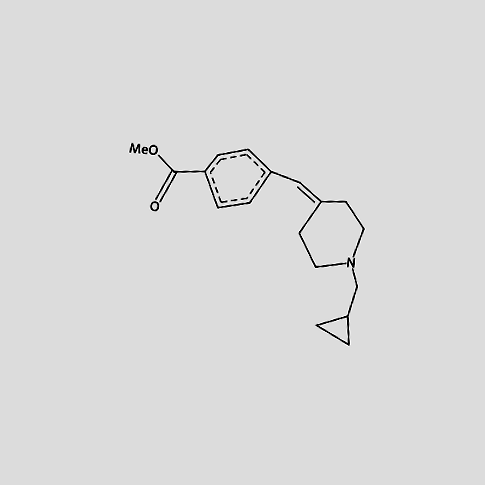 COC(=O)c1ccc(C=C2CCN(CC3CC3)CC2)cc1